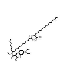 CCCCCCCCCCCCCCC(NC(=O)CCCCCCCCCCC(CCCCCC)N(CC)C(=O)c1cc2ccc(N(CC)CC)cc2oc1=O)C(=O)O